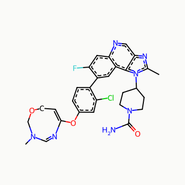 Cc1nc2cnc3cc(F)c(-c4ccc(OC5=C/COCN(C)/C=N\5)cc4Cl)cc3c2n1C1CCN(C(N)=O)CC1